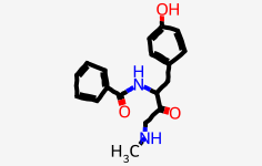 CNCC(=O)C(Cc1ccc(O)cc1)NC(=O)c1ccccc1